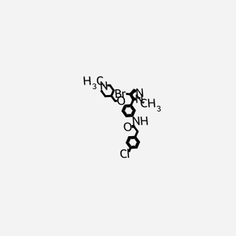 CN1CCC(COc2ccc(NC(=O)Cc3ccc(Cl)cc3)cc2-c2c(Br)cnn2C)CC1